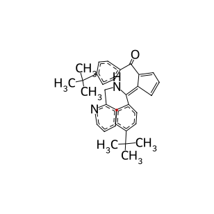 CC(C)(C)c1ccc(C(=O)C2=CC=C/C2=C(/NCc2ccccn2)c2ccc(C(C)(C)C)cc2)cc1